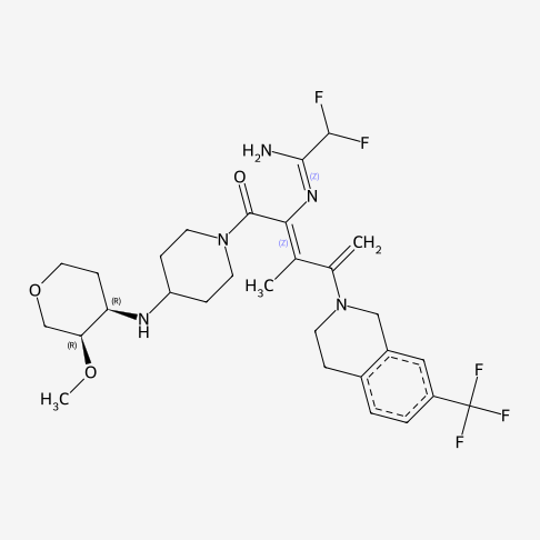 C=C(/C(C)=C(\N=C(/N)C(F)F)C(=O)N1CCC(N[C@@H]2CCOC[C@@H]2OC)CC1)N1CCc2ccc(C(F)(F)F)cc2C1